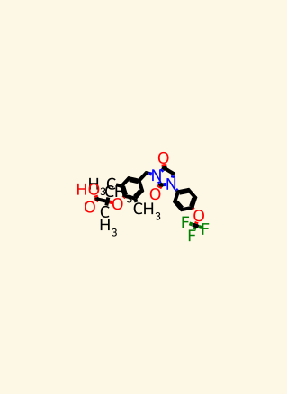 Cc1cc(CN2C(=O)CN(c3ccc(OC(F)(F)F)cc3)C2=O)cc(C)c1OC(C)(C)C(=O)O